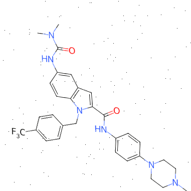 CN1CCN(c2ccc(NC(=O)c3cc4cc(NC(=O)N(C)C)ccc4n3Cc3ccc(C(F)(F)F)cc3)cc2)CC1